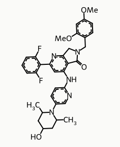 COc1ccc(CN2Cc3nc(-c4c(F)cccc4F)cc(Nc4ccc(N5C(C)CC(O)CC5C)cn4)c3C2=O)c(OC)c1